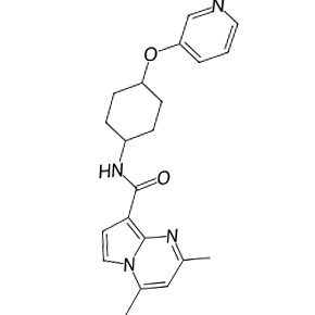 Cc1cc(C)n2ccc(C(=O)NC3CCC(Oc4cccnc4)CC3)c2n1